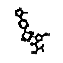 Cc1ncsc1-c1ccc([C@H](CO)NC(=O)[C@@H]2C[C@@H](O)CN2C(=O)[C@@H](N(C)C)C(C)(C)C)nc1